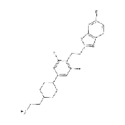 CCCC1CCC(c2cc(F)c(CCc3nc4ccc(F)cc4s3)c(F)c2)CC1